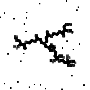 CCSCC(C)C(=O)OCCOC(=O)CCN(CCC(=O)OCCOC(=O)C(C)CSC)Cc1cn(CCC(C)(C)OCCC(C)(C)OC)nn1